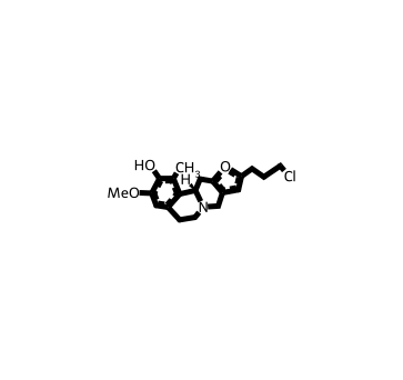 COc1cc2c(c(C)c1O)[C@@H]1Cc3oc(CCCCl)cc3CN1CC2